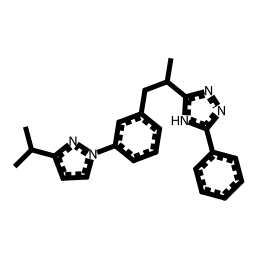 CC(C)c1ccn(-c2cccc(CC(C)c3nnc(-c4ccccc4)[nH]3)c2)n1